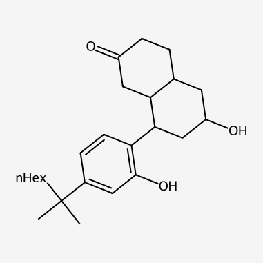 CCCCCCC(C)(C)c1ccc(C2CC(O)CC3CCC(=O)CC32)c(O)c1